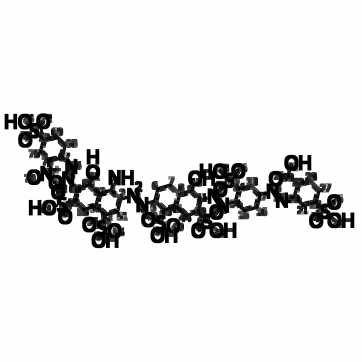 Nc1c(N=Nc2ccc3c(O)c(N=Nc4ccc(N=Nc5cc(S(=O)(=O)O)ccc5C(=O)O)cc4S(=O)(=O)O)c(S(=O)(=O)O)cc3c2S(=O)(=O)O)cc(S(=O)(=O)O)c2cc(S(=O)(=O)O)c(N=Nc3ccc(S(=O)(=O)O)cc3[N+](=O)[O-])c(O)c12